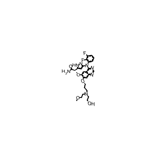 COCCN(CCO)CCCOc1cc2ncnc(N(c3cc(CC(N)=O)[nH]n3)c3cccc(F)c3F)c2cc1OC